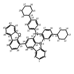 c1ccc2c(c1)B1c3cc(C4CCCCC4)ccc3N(c3ccc(C4CCCCC4)cc3)c3cc(-c4cccc5c4oc4ccccc45)cc-2c31